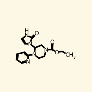 CCOC(=O)N1CCN(c2ccccn2)C(n2cc[nH]c2=O)C1